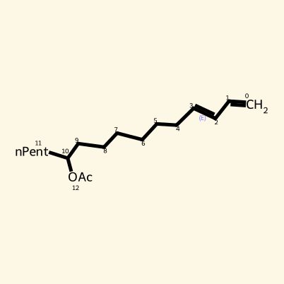 C=C/C=C/CCCCCCC(CCCCC)OC(C)=O